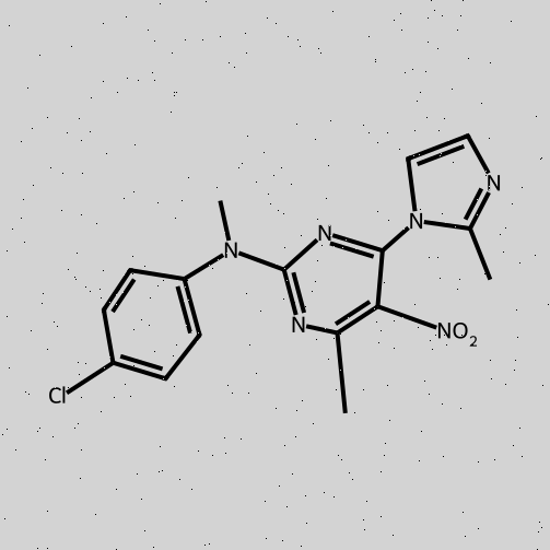 Cc1nc(N(C)c2ccc(Cl)cc2)nc(-n2ccnc2C)c1[N+](=O)[O-]